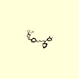 Cc1ccc(C(CCCOc2ccc(CN3CC(C(=O)O)C3)cc2)c2cccs2)cc1C